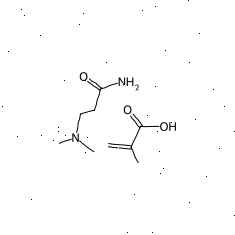 C=C(C)C(=O)O.CN(C)CCC(N)=O